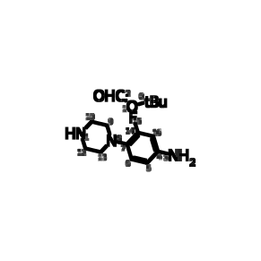 CC(C)(C)OC=O.Nc1ccc(N2CCNCC2)c(F)c1